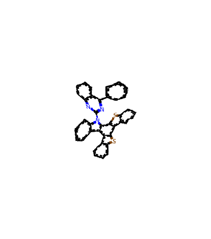 c1ccc(-c2nc(-n3c4ccccc4c4c5c6ccccc6sc5c5c6ccccc6sc5c43)nc3ccccc23)cc1